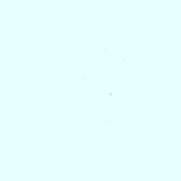 COc1cc2c(NC3CCN(C)CC3)cc(-c3ccc(C)o3)nc2cc1O